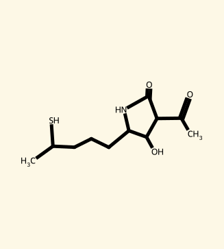 CC(=O)C1C(=O)NC(CCCC(C)S)C1O